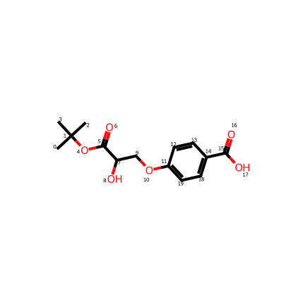 CC(C)(C)OC(=O)C(O)COc1ccc(C(=O)O)cc1